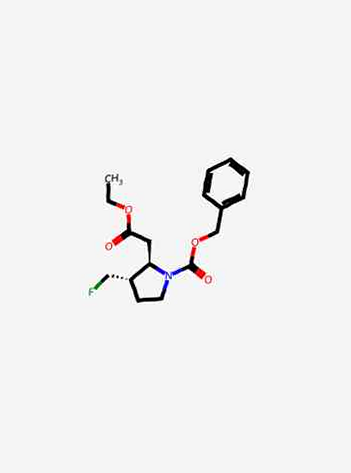 CCOC(=O)C[C@@H]1[C@@H](CF)CCN1C(=O)OCc1ccccc1